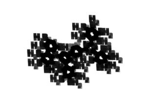 Bc1cc(B)c2c(c1B)c1c(B)c(B)c(B)c(B)c1n2-c1cc(-c2c(B)c(B)c(B)c(B)c2B)c2oc3cc(-c4nc(-c5c(B)c(B)c(B)c(B)c5B)nc(-c5c(B)c(B)c(B)c(B)c5B)n4)ccc3c2c1